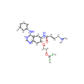 Cc1cccc(Nc2ncnc3cc(OCCOC(F)F)c(NC(=O)/C=C/CN(C)C)cc23)c1